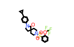 O=C1N(c2ccc(C3CC3)cc2)CCC12CCN(S(=O)(=O)c1ccccc1OC(F)(F)F)CC2